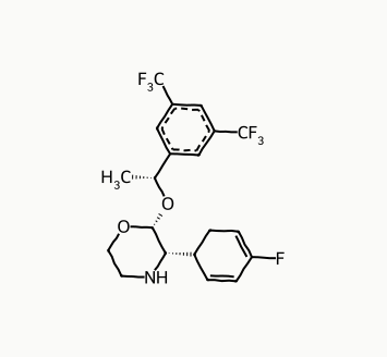 C[C@@H](O[C@H]1OCCN[C@H]1C1C=CC(F)=CC1)c1cc(C(F)(F)F)cc(C(F)(F)F)c1